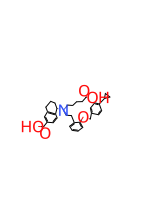 O=C(O)CCCCN(CCc1ccccc1OCc1ccc(C2CC2)cc1)[C@H]1CCCc2cc(C(=O)O)ccc21